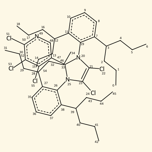 CCCC(CCC)c1cccc(C(CCC)CCC)c1N1C(Cl)=C(Cl)N(c2c(C(CCC)CCC)cccc2C(CCC)CCC)C1c1cnc(Cl)c(Cl)c1Cl